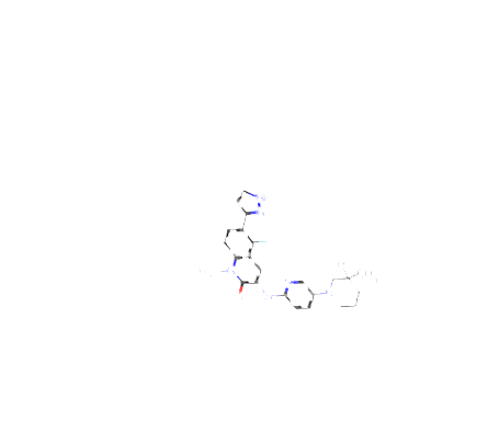 Cn1c(=O)c(Nc2ccc(N3CCCC(C)(C(=O)O)C3)cn2)cc2c(F)c(-c3cc[nH]n3)ccc21